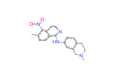 Cc1ccc2c(Nc3ccc4c(c3)CN(C)CC4)nccc2c1[N+](=O)[O-]